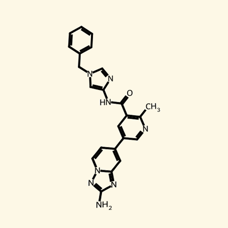 Cc1ncc(-c2ccn3nc(N)nc3c2)cc1C(=O)Nc1cn(Cc2ccccc2)cn1